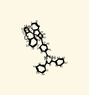 C1=CC2=C(NC1)C1(c3ccccc3Oc3ccccc31)c1cc(-c3ccc(C4N=C(c5ccccc5)C=C(c5ccccc5)N4)cc3)ccc12